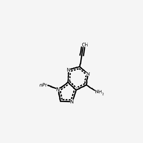 C#Cc1nc(N)c2ncn(CCC)c2n1